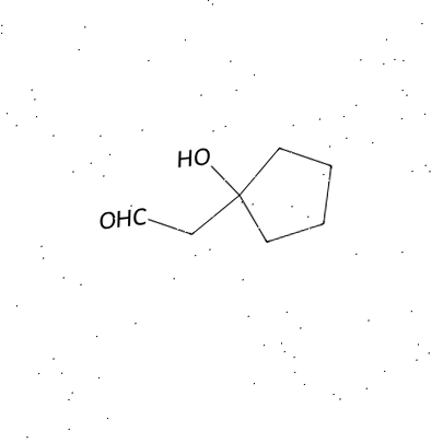 O=CCC1(O)CCCC1